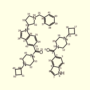 O=C(c1ccc2[nH]ccc2c1)N1CCN(C2CCC2)CC1.O=C(c1ccc2c(ccn2C2CCN(Cc3ccccc3)C2)c1)N1CCN(C2CCC2)CC1